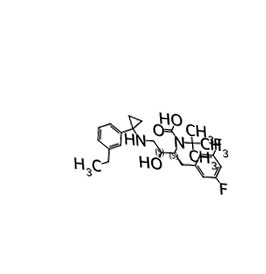 CCc1cccc(C2(NC[C@H](O)[C@H](Cc3cc(F)cc(F)c3)N(C(=O)O)C(C)(C)C)CC2)c1